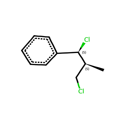 C[C@@H](CCl)[C@H](Cl)c1ccccc1